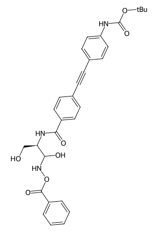 CC(C)(C)OC(=O)Nc1ccc(C#Cc2ccc(C(=O)N[C@H](CO)C(O)NOC(=O)c3ccccc3)cc2)cc1